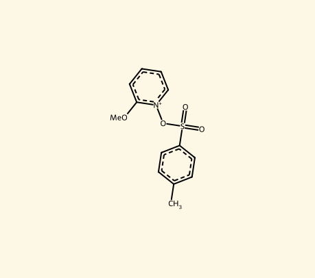 COc1cccc[n+]1OS(=O)(=O)c1ccc(C)cc1